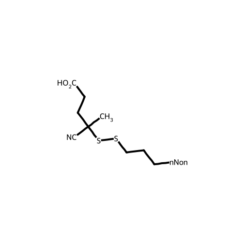 CCCCCCCCCCCCSSC(C)(C#N)CCC(=O)O